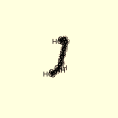 Cc1cc(N=Nc2ccc(NC(=O)Nc3ccc(S(=O)(=O)O)cc3)cc2C)ccc1N=Nc1ccc(N=Nc2ccc3cccc(S(=O)(=O)O)c3c2)cc1